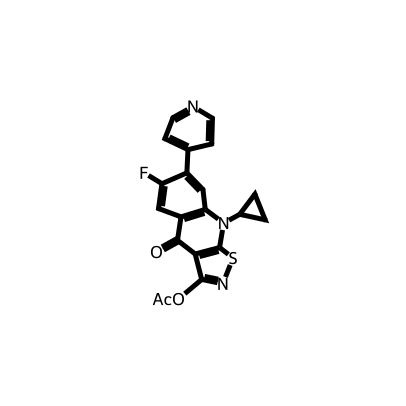 CC(=O)Oc1nsc2c1c(=O)c1cc(F)c(-c3ccncc3)cc1n2C1CC1